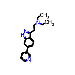 CCN(CC)CCC1=NN=C2CC(c3cccnc3)=CC=C12